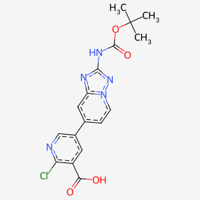 CC(C)(C)OC(=O)Nc1nc2cc(-c3cnc(Cl)c(C(=O)O)c3)ccn2n1